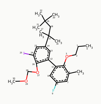 CCCOc1c(C)cc(F)cc1-c1cc(C(C)(C)CC(C)(C)C)cc(I)c1OCOC